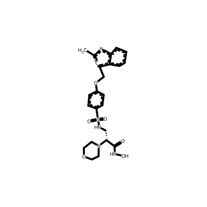 Cc1cc(COc2ccc(S(=O)(=O)NC[C@H](C(=O)NO)N3CCOCC3)cc2)c2ccccc2n1